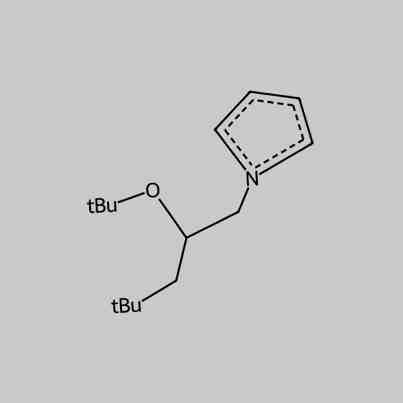 CC(C)(C)CC(Cn1cccc1)OC(C)(C)C